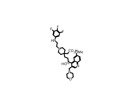 COc1ccc2ncc(CN3CCOCC3)c([C@H](O)CCC3(CC(=O)O)CCN(CCNc4cc(F)c(F)c(F)c4)CC3)c2c1